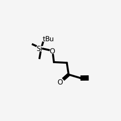 C#CC(=O)CCO[Si](C)(C)C(C)(C)C